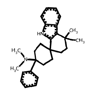 CN(C)C1(c2ccccc2)CCC2(CCC(C)(C)c3c2[nH]c2ccccc32)CC1